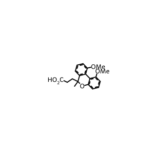 COc1cccc2c1-c1c(OC)cccc1C(C)(CCC(=O)O)O2